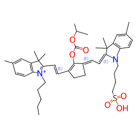 CCCCC[N+]1=C(/C=C/C2=C(OC(=O)OC(C)C)C(=C/C=C3/N(CCCCS(=O)(=O)O)c4ccc(C)cc4C3(C)C)/CC2)C(C)(C)c2cc(C)ccc21